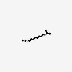 [CH2]CC(=O)OCCCCCCCCCCCCCCC